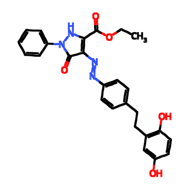 CCOC(=O)c1[nH]n(-c2ccccc2)c(=O)c1N=Nc1ccc(CCc2cc(O)ccc2O)cc1